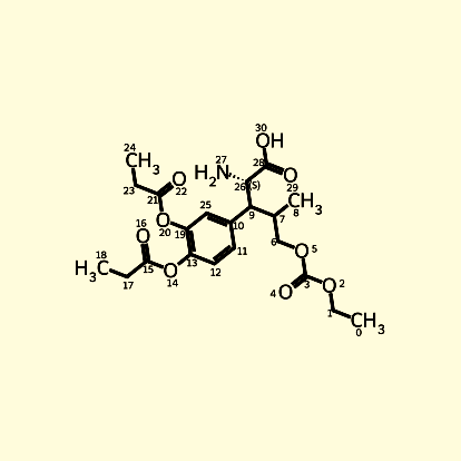 CCOC(=O)OCC(C)C(c1ccc(OC(=O)CC)c(OC(=O)CC)c1)[C@H](N)C(=O)O